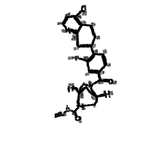 CC(C)(C)OC(=O)N1C[C@@H]2C[C@H]1CN2C(=O)c1ccc(-c2ccc3c(Cl)ccnc3c2)c(F)c1